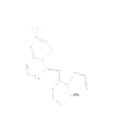 COc1ccc2c(Cc3cccc4ccccc34)nccc2c1